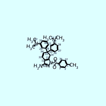 Cc1ccc(S(=O)(=O)n2nc(N)c3c2CC(c2cccc(N(C)C)c2)(c2cccc(N(C)C)c2)C=C3)cc1